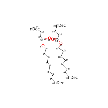 CCCCCCCCCCCCCCCCCCOC(=O)CCCCCCCCCCCC.CCCCCCCCCCCCCCCCCOC(=O)CCCCCCCCCCCC